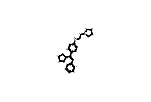 C(=C(c1ccc(OCCN2CCCC2)cc1)C1CCCC1)c1ccccc1